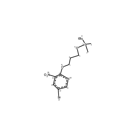 CC(C)(C)[Si](C)(C)OCCCOc1ncc(Br)cc1[N+](=O)[O-]